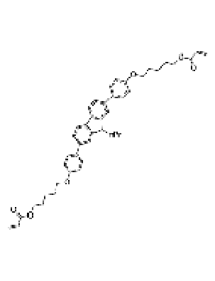 C=CC(=O)OCCCCCOc1ccc(-c2ccc3c(c2)C(CCC)c2cc(-c4ccc(OCCCCCOC(=O)C=C)cc4)ccc2-3)cc1